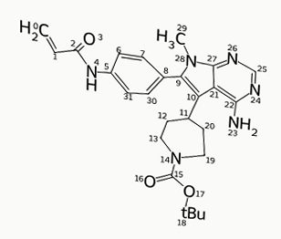 C=CC(=O)Nc1ccc(-c2c(C3CCN(C(=O)OC(C)(C)C)CC3)c3c(N)ncnc3n2C)cc1